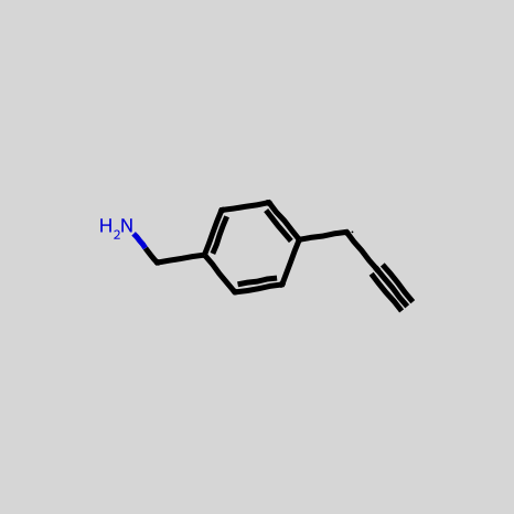 C#C[CH]c1ccc(CN)cc1